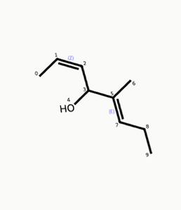 C/C=C\C(O)/C(C)=C/CC